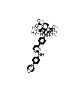 CC(C)(C)C1N(C(=O)O)CCN(C(=O)O)[C@]1(C(=O)Nc1ccc(-c2ccnc(Nc3ccc(N4CCOCC4)cc3)n2)cc1)C(C)(C)C